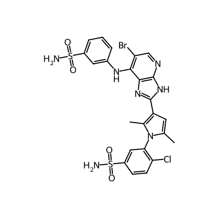 Cc1cc(-c2nc3c(Nc4cccc(S(N)(=O)=O)c4)c(Br)cnc3[nH]2)c(C)n1-c1cc(S(N)(=O)=O)ccc1Cl